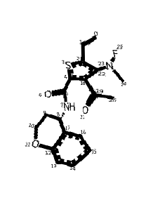 CCc1sc(C(=O)N[C@H]2CCOc3ccccc32)c(C(C)=O)c1N(C)F